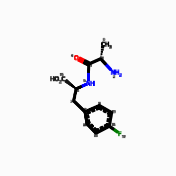 C[C@H](N)C(=O)N[C@@H](Cc1ccc(F)cc1)C(=O)O